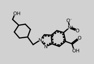 O=C(O)c1cc2nn(CC3CCC(CO)CC3)cc2cc1[N+](=O)[O-]